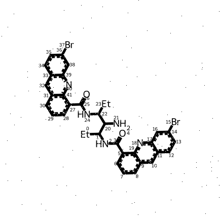 CCC(NC(=O)c1cccc2cc3ccc(Br)cc3nc12)C(N)C(CC)NC(=O)c1cccc2cc3ccc(Br)cc3nc12